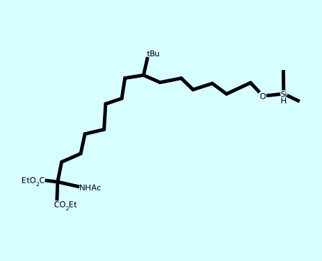 CCOC(=O)C(CCCCCCCC(CCCCCCO[SiH](C)C)C(C)(C)C)(NC(C)=O)C(=O)OCC